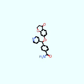 NC(=O)c1ccc(C(Oc2ccc3c(c2)OCCC3=O)c2ccncc2)cc1